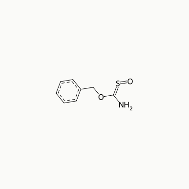 NC(OCc1ccccc1)=S=O